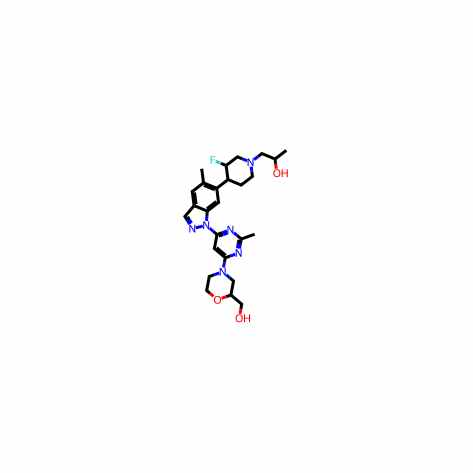 Cc1nc(N2CCOC(CO)C2)cc(-n2ncc3cc(C)c(C4CCN(CC(C)O)CC4F)cc32)n1